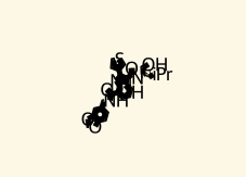 CC(C)C[C@@H](CO)NC(=O)c1c(-c2ccsc2)nc2c(C(=O)NCc3ccc4c(c3)OCO4)cccn12